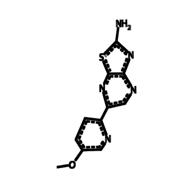 COc1ccc(-c2cnc3nc(N)sc3n2)nc1